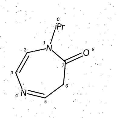 CC(C)N1C=CN=CCC1=O